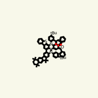 CC(C)(C)c1ccc(N2B3c4cc5c(-c6ccccc6)oc(-c6ccccc6)c5cc4N(c4ccc(C(C)(C)C)cc4-c4ccccc4)c4c3c(cc3c4sc4ccccc43)-c3cc4c(cc32)C(C)(C)c2cc3c(cc2-4)C(C)(C)CCC3(C)C)cc1